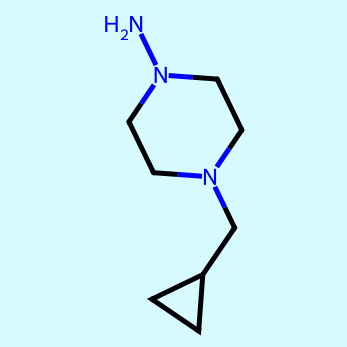 NN1CCN(CC2CC2)CC1